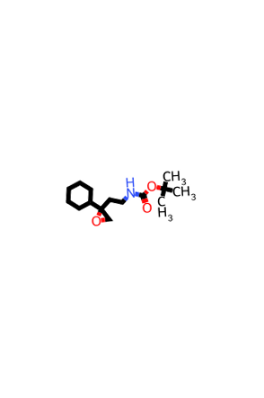 CC(C)(C)OC(=O)NCCC1(C2CCCCC2)CO1